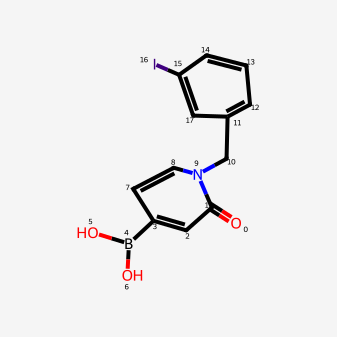 O=c1cc(B(O)O)ccn1Cc1cccc(I)c1